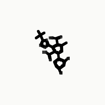 Cc1cc(-c2ccc(Cl)cc2Cl)c(C(=O)O)c(-c2nnc(C(C)(C)C)s2)c1C(=O)O